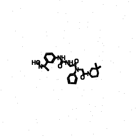 C/C(=N/O)c1cccc(NC(=O)NCC(=O)N(CC(=O)N2CCCC(C)(C)C2)c2ccccc2)c1